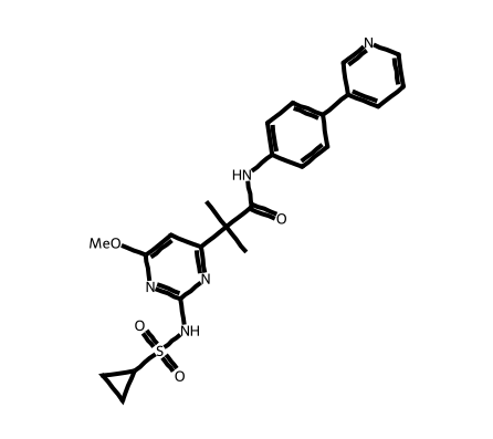 COc1cc(C(C)(C)C(=O)Nc2ccc(-c3cccnc3)cc2)nc(NS(=O)(=O)C2CC2)n1